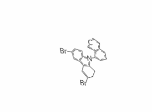 BrC1=Cc2c(n(-c3cccc4ccccc34)c3ccc(Br)cc23)CC1